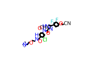 Cn1c(-c2ccc(OCC#N)c(F)c2F)cnc1C(=O)Nc1ccc(C(=O)NCCOCC[N+](C)(C)C)c(Cl)c1.O=C[O-]